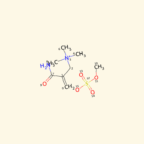 C=C(C[N+](C)(C)C)C(N)=O.COS(=O)(=O)[O-]